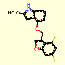 O=C(O)c1cc2c(OCc3coc4cc(F)cc(F)c34)cccc2[nH]1